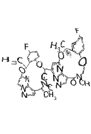 CC1Oc2ccn3ncc(c3n2)C(=O)N(C)CC(c2cc3nc4c(cnn24)C(=O)N(C)CCOc2ccc(F)cc2[C@@H](C)O3)Oc2ccc(F)cc21